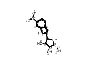 O=[N+]([O-])c1ccc2cc(C3O[C@H](CO)[C@@H](O)[C@H]3O)[nH]c2c1